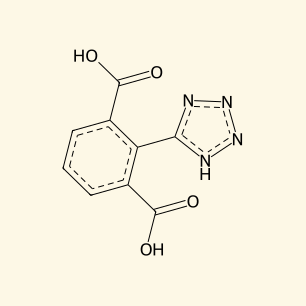 O=C(O)c1cccc(C(=O)O)c1-c1nnn[nH]1